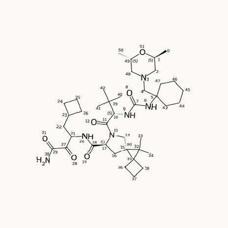 C[C@H]1CN(CC2(NC(=O)N[C@H](C(=O)N3C[C@]4(C[C@H]3C(=O)NC(CC3CCC3)C(=O)C(N)=O)C(C)(C)C43CCC3)C(C)(C)C)CCCCC2)C[C@H](C)O1